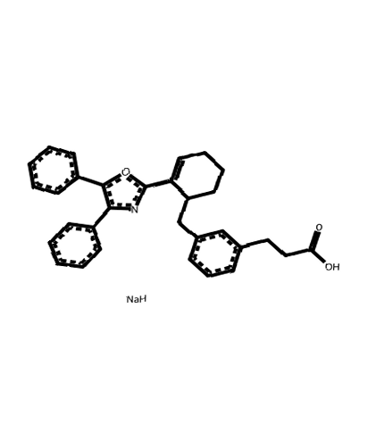 O=C(O)CCc1cccc(CC2CCCC=C2c2nc(-c3ccccc3)c(-c3ccccc3)o2)c1.[NaH]